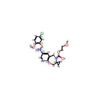 COCCOC(=O)N1Cc2cc(NSc3cc(Cl)ccc3OC)cnc2OCC12CC2